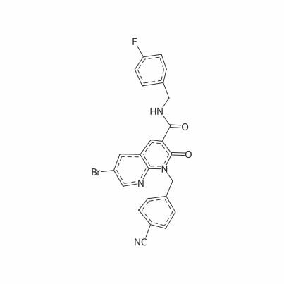 N#Cc1ccc(Cn2c(=O)c(C(=O)NCc3ccc(F)cc3)cc3cc(Br)cnc32)cc1